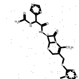 Cn1nnnc1SCC1=C(C(=O)O)N2C(=O)[C@H](NC(=O)C(NC(N)=O)c3cncs3)C2SC1